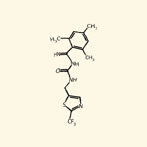 Cc1cc(C)c(C(=N)NC(=O)NCc2cnc(C(F)(F)F)s2)c(C)c1